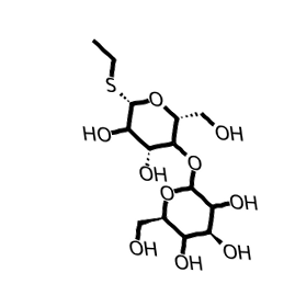 CCS[C@@H]1O[C@H](CO)C(OC2O[C@H](CO)C(O)[C@H](O)C2O)[C@H](O)C1O